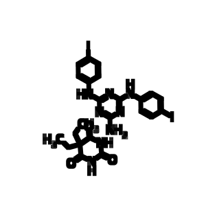 CCC1(CC)C(=O)NC(=O)NC1=O.Nc1nc(Nc2ccc(I)cc2)nc(Nc2ccc(I)cc2)n1